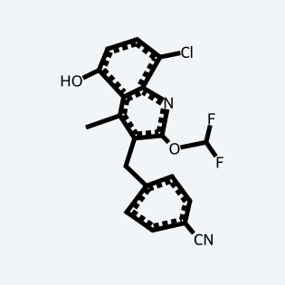 Cc1c(Cc2ccc(C#N)cc2)c(OC(F)F)nc2c(Cl)ccc(O)c12